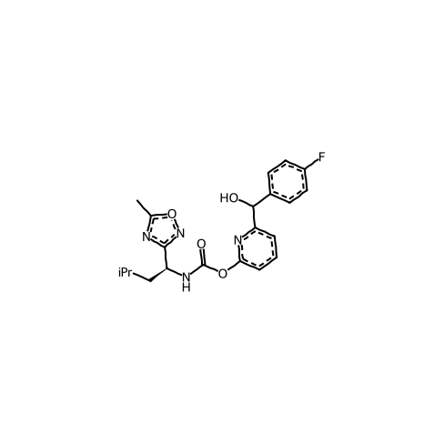 Cc1nc([C@H](CC(C)C)NC(=O)Oc2cccc(C(O)c3ccc(F)cc3)n2)no1